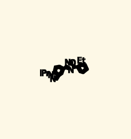 CCc1ccccc1-c1nc(-c2ccc3c(cnn3C(C)C)c2)no1